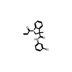 C=CC(=O)N1CC(C)(C(=O)Nc2cccc(CC)c2)c2ccccc21